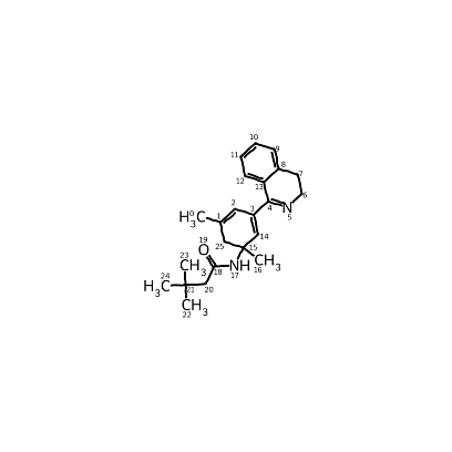 CC1=CC(C2=NCCc3ccccc32)=CC(C)(NC(=O)CC(C)(C)C)C1